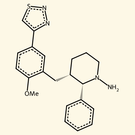 COc1ccc(-c2csnn2)cc1C[C@@H]1CCCN(N)[C@@H]1c1ccccc1